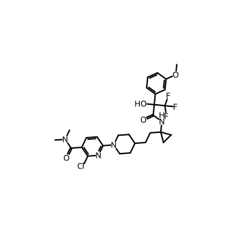 COc1cccc(C(O)(C(=O)NC2(CCC3CCN(c4ccc(C(=O)N(C)C)c(Cl)n4)CC3)CC2)C(F)(F)F)c1